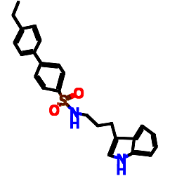 CCc1ccc(-c2ccc(S(=O)(=O)NCCCc3c[nH]c4ccccc34)cc2)cc1